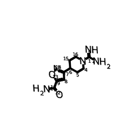 N=C(N)N1CCC(c2cc(C(N)=O)on2)CC1